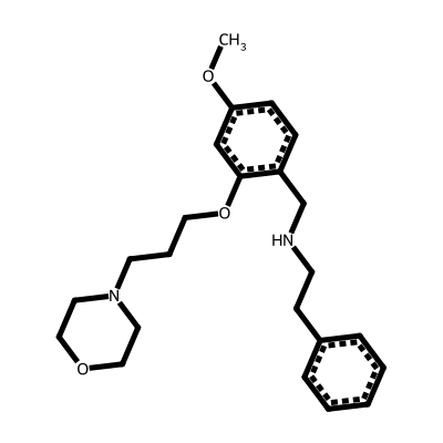 COc1ccc(CNCCc2ccccc2)c(OCCCN2CCOCC2)c1